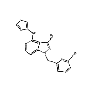 Brc1cccc(Cn2nc(Br)c3c(Nc4ccsc4)cccc32)n1